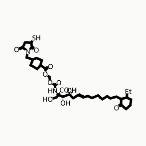 CCC1CCCC(=O)C1CCCCCCC/C=C/C[C@@H](O)[C@H](O)[C@](CO)(NC(=O)OCOC(=O)C1CCC(CN2C(=O)CC(S)C2=O)CC1)C(=O)O